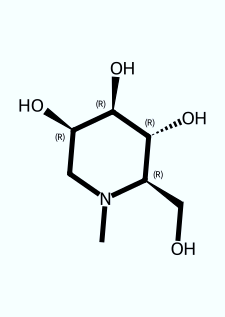 CN1C[C@@H](O)[C@@H](O)[C@H](O)[C@H]1CO